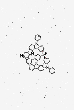 N#Cc1cccc(-c2c(-n3c4ccccc4c4ccc5c(c6ccccc6n5-c5ccccc5)c43)cc(C(F)(F)F)cc2-n2c3ccccc3c3ccc4c(c5ccccc5n4-c4ccccc4)c32)c1